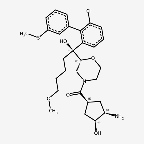 COCCCC[C@](O)(c1cccc(Cl)c1-c1cccc(SC)c1)[C@H]1CN(C(=O)[C@H]2C[C@@H](N)[C@@H](O)C2)CCO1